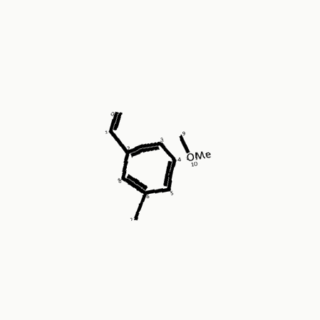 C=Cc1cccc(C)c1.COC